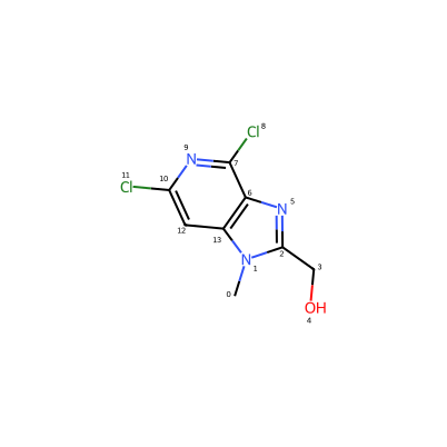 Cn1c(CO)nc2c(Cl)nc(Cl)cc21